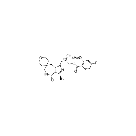 CCc1nn(C[C@@H](C)COC(=O)c2ccc(F)cc2OC)c2c1C(=O)NCC1(CCOCC1)C2